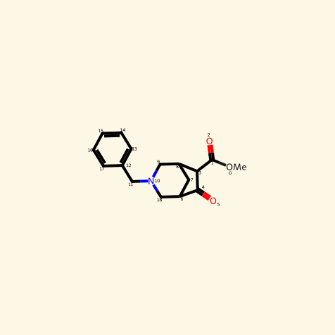 COC(=O)C1C(=O)C2CC1CN(Cc1ccccc1)C2